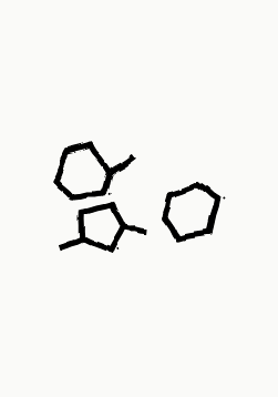 CC1[CH]C(C)CC1.CC1[CH]CCCC1.[CH]1CCCCC1